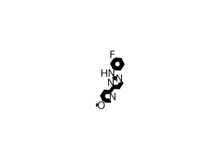 COc1ccc(-c2ccnc(Nc3cccc(F)c3)n2)nc1